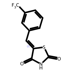 O=C1NC(=O)/C(=C/c2cccc(C(F)(F)F)c2)S1